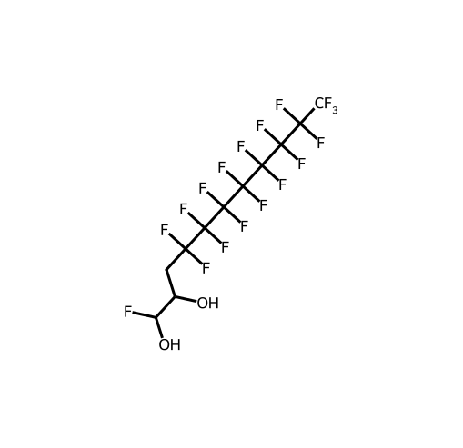 OC(F)C(O)CC(F)(F)C(F)(F)C(F)(F)C(F)(F)C(F)(F)C(F)(F)C(F)(F)C(F)(F)F